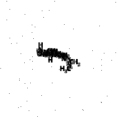 C=C(/C=C\C=C/C)Cc1cnc(N2CCN(c3ncnc(Nc4cn(C[C@@H]5CNCCO5)nc4C)n3)CC2)nc1